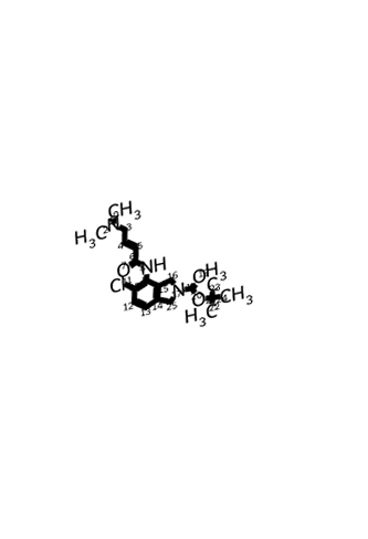 CN(C)C/C=C/C(=O)Nc1c(Cl)ccc2c1CN(C(=O)OC(C)(C)C)C2